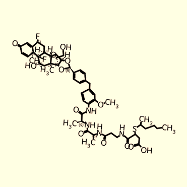 CCCCC(C)SC(CC(=O)O)C(=O)NCCC(=O)N[C@@H](C)C(=O)N[C@@H](C)C(=O)Nc1ccc(Cc2ccc([C@@H]3O[C@@H]4C[C@H]5[C@@H]6C[C@H](F)C7=CC(=O)C=C[C@]7(C)[C@@]6(F)[C@@H](O)C[C@]5(C)[C@]4(C(=O)CO)O3)cc2)cc1OC